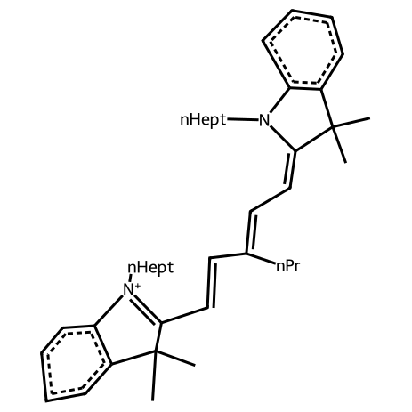 CCCCCCCN1\C(=C/C=C(/C=C/C2=[N+](CCCCCCC)c3ccccc3C2(C)C)CCC)C(C)(C)c2ccccc21